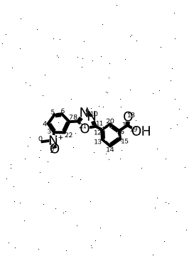 C[N+](=O)c1cccc(-c2nnc(-c3cccc(C(=O)O)c3)o2)c1